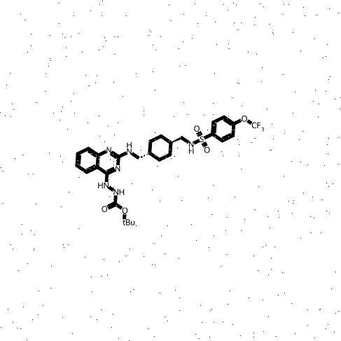 CC(C)(C)OC(=O)NNc1nc(NC[C@H]2CC[C@H](CNS(=O)(=O)c3ccc(OC(F)(F)F)cc3)CC2)nc2ccccc12